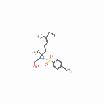 CC(C)=CCCC1(C)C(CO)N1S(=O)(=O)c1ccc(C)cc1